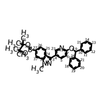 Cn1nc(-c2ccc(OC(c3ccccc3)c3ccccc3)nc2)c2ccc(B3OC(C)(C)C(C)(C)O3)cc21